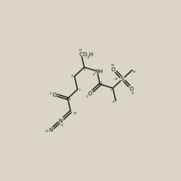 CC(C(=O)NC(CCC(=O)C=[N+]=[N-])C(=O)O)S(C)(=O)=O